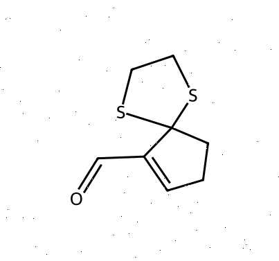 O=CC1=CCCC12SCCS2